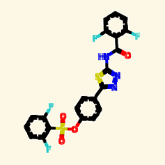 O=C(Nc1nnc(-c2ccc(OS(=O)(=O)c3c(F)cccc3F)cc2)s1)c1c(F)cccc1F